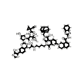 Cc1ncsc1-c1ccc([C@H](CC(=O)NCCCCNC(=O)c2nc(N3CCc4cccc(C(=O)Nc5nc6ccccc6s5)c4C3)ccc2-c2cnn(CC34CC5CC(CC(C5)C3)C4)c2C)NC(=O)[C@@H]2C[C@@H](O)CN2C(=O)[C@@H](NC(=O)C2(C#N)CC2)C(C)(C)C)cc1